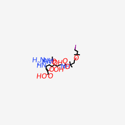 CC(=O)N[C@H]1[C@H]([C@H](O)[C@H](O)CNC(=O)OC(C)(C)CCOC(C)(C)CCI)OC(C(=O)O)=C[C@@H]1NC(=N)N